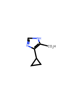 O=C(O)c1[nH]cnc1C1CC1